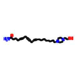 NC(=O)CCCC#CCC#CCC#CCCCCCCCCN1CCN(CCO)CC1